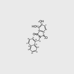 O=C1c2ccc(O)c(O)c2C(=O)N1Cc1cccc2ccccc12